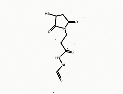 O=CNNC(=O)CCN1C(=O)CC(S)C1=O